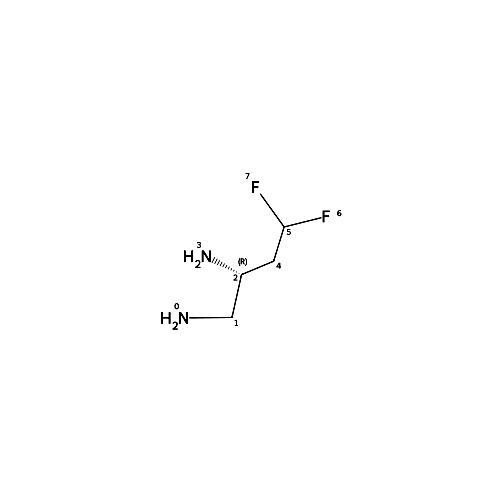 NC[C@H](N)CC(F)F